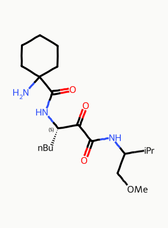 CCCC[C@H](NC(=O)C1(N)CCCCC1)C(=O)C(=O)NC(COC)C(C)C